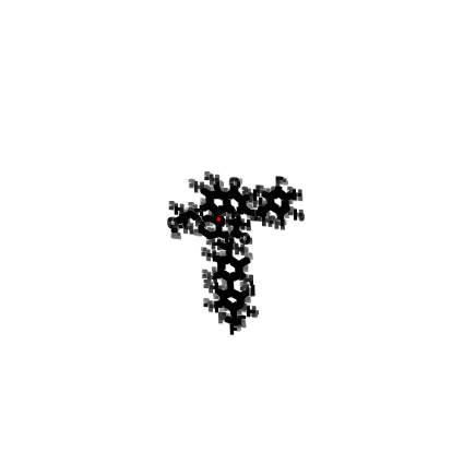 [2H]c1c([2H])c(F)c(F)c(C([2H])([2H])Sc2c([2H])c(=O)c3c([2H])c([2H])c([2H])c([2H])c3n2C([2H])([2H])C(=O)N(C2CCN(CC([2H])([2H])OC)CC2)C([2H])([2H])c2c([2H])c([2H])c(-c3c([2H])c([2H])c(C(F)(F)F)c([2H])c3[2H])c([2H])c2C)c1[2H]